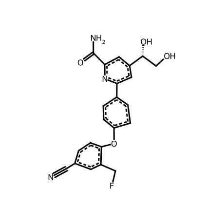 N#Cc1ccc(Oc2ccc(-c3cc([C@H](O)CO)cc(C(N)=O)n3)cc2)c(CF)c1